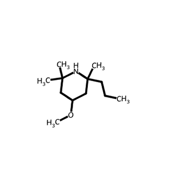 CCCC1(C)CC(OC)CC(C)(C)N1